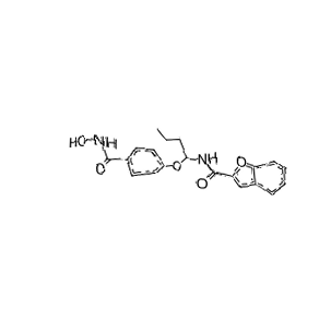 CCCC(NC(=O)c1cc2ccccc2o1)Oc1ccc(C(=O)NO)cc1